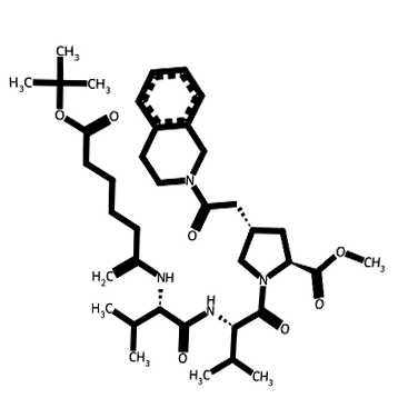 C=C(CCCCC(=O)OC(C)(C)C)N[C@H](C(=O)N[C@H](C(=O)N1C[C@H](CC(=O)N2CCc3ccccc3C2)C[C@H]1C(=O)OC)C(C)C)C(C)C